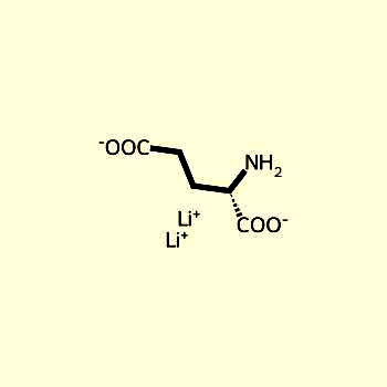 N[C@@H](CCC(=O)[O-])C(=O)[O-].[Li+].[Li+]